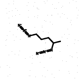 CC(CCCN=[N+]=[N-])N=[N+]=[N-]